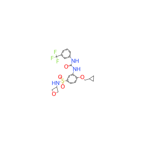 O=C(Nc1cccc(C(F)(F)F)c1)Nc1cc(S(=O)(=O)NC2COC2)ccc1OCC1CC1